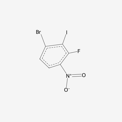 O=[N+]([O-])c1ccc(Br)c(I)c1F